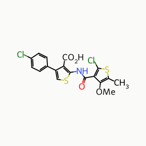 COc1c(C)sc(Cl)c1C(=O)Nc1scc(-c2ccc(Cl)cc2)c1C(=O)O